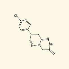 O=C1CN2N=CC(c3ccc(Cl)cc3)=CC2=NN1